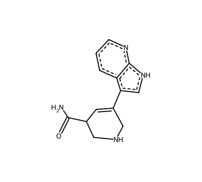 NC(=O)C1C=C(c2c[nH]c3ncccc23)CNC1